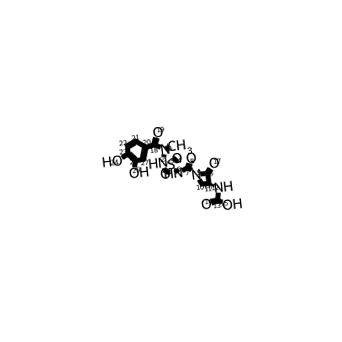 CN(NS(=O)(=O)NC(=O)N1C[C@H](NC(=O)O)C1=O)C(=O)c1ccc(O)c(O)c1